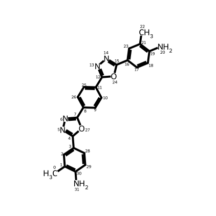 Cc1cc(-c2nnc(-c3ccc(-c4nnc(-c5ccc(N)c(C)c5)o4)cc3)o2)ccc1N